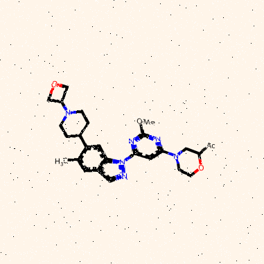 COc1nc(N2CCOC(C(C)=O)C2)cc(-n2ncc3cc(C)c(C4CCN(C5COC5)CC4)cc32)n1